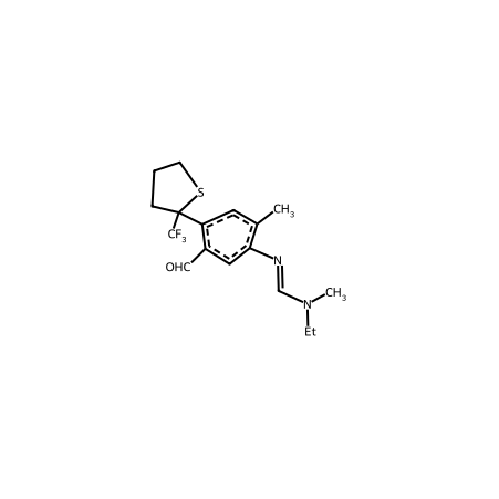 CCN(C)/C=N/c1cc(C=O)c(C2(C(F)(F)F)CCCS2)cc1C